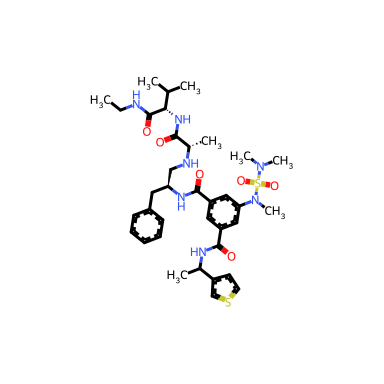 CCNC(=O)[C@@H](NC(=O)[C@H](C)NC[C@H](Cc1ccccc1)NC(=O)c1cc(C(=O)NC(C)c2ccsc2)cc(N(C)S(=O)(=O)N(C)C)c1)C(C)C